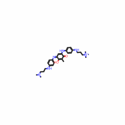 CC1=C(O)/C(=N\c2ccc(NCCCN(C)C)cc2)C=C(Nc2ccc(NCCC[N+](C)(C)C)cc2)C1=O